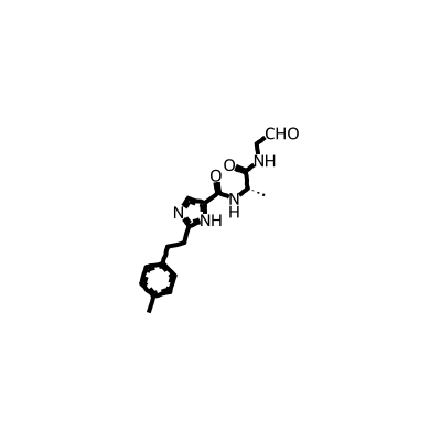 Cc1ccc(CCc2ncc(C(=O)N[C@@H](C)C(=O)NCC=O)[nH]2)cc1